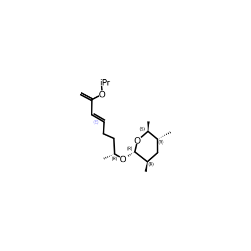 C=C(/C=C/CC[C@@H](C)O[C@@H]1O[C@@H](C)[C@H](C)C[C@H]1C)OC(C)C